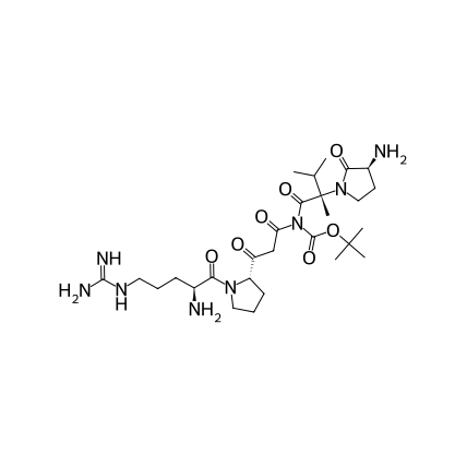 CC(C)[C@@](C)(C(=O)N(C(=O)CC(=O)[C@@H]1CCCN1C(=O)[C@@H](N)CCCNC(=N)N)C(=O)OC(C)(C)C)N1CC[C@H](N)C1=O